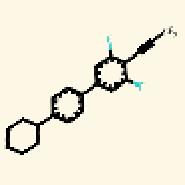 Fc1cc(-c2ccc(C3CCCCC3)cc2)cc(F)c1C#CC(F)(F)F